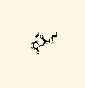 C=C.C=COC(=O)CN1CCCC1=O